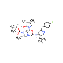 CC1=C(C)C(=O)N(C[C@H]2CN(C(=O)OC(C)(C)C)[C@H](C)CN2CC(=O)N2CC(C)(C)c3cnc(Cc4ccc(F)cc4)cc32)C1